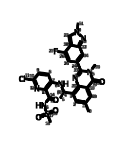 Cc1cc([C@@H](C)Nc2ccc(Cl)nc2C(=O)NS(C)(=O)=O)c2nc(-c3cc(F)c4cn(C)nc4c3)n(C)c(=O)c2c1